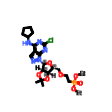 CCOP(=O)(CCOC[C@H]1O[C@@H](n2ncc3c(NC4CCCC4)nc(Cl)nc32)[C@@H]2OC(C)(C)O[C@@H]21)OCC